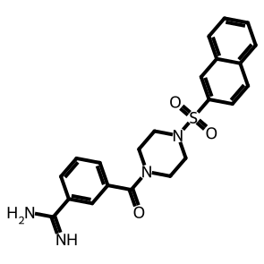 N=C(N)c1cccc(C(=O)N2CCN(S(=O)(=O)c3ccc4ccccc4c3)CC2)c1